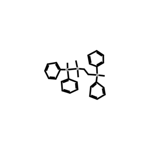 C[Si](CC[Si](C)(C)[Si](C)(c1ccccc1)c1ccccc1)(c1ccccc1)c1ccccc1